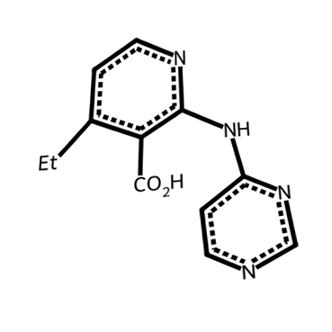 CCc1ccnc(Nc2ccncn2)c1C(=O)O